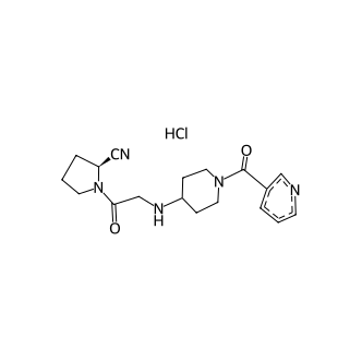 Cl.N#C[C@@H]1CCCN1C(=O)CNC1CCN(C(=O)c2cccnc2)CC1